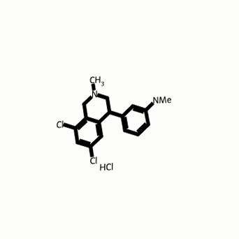 CNc1cccc(C2CN(C)Cc3c(Cl)cc(Cl)cc32)c1.Cl